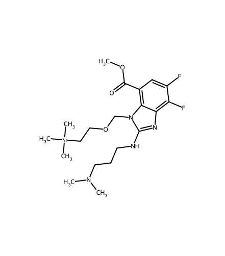 COC(=O)c1cc(F)c(F)c2nc(NCCCN(C)C)n(COCC[Si](C)(C)C)c12